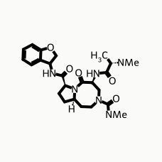 CNC(=O)N1CC[C@H]2CC[C@@H](C(=O)NC3COc4ccccc43)N2C(=O)[C@@H](NC(=O)[C@H](C)NC)C1